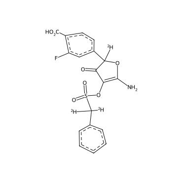 [2H]C1(c2ccc(C(=O)O)c(F)c2)OC(N)=C(OS(=O)(=O)C([2H])([2H])c2ccccc2)C1=O